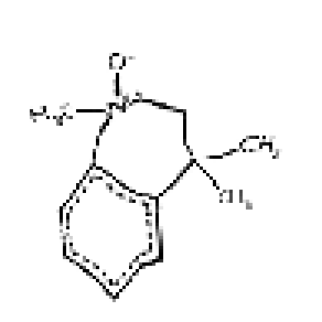 CC1(C)C[N+](C)([O-])c2ccccc21